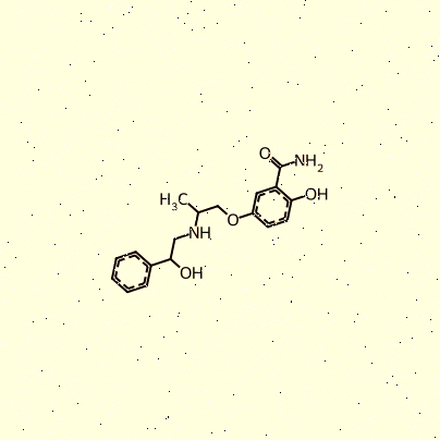 CC(COc1ccc(O)c(C(N)=O)c1)NCC(O)c1ccccc1